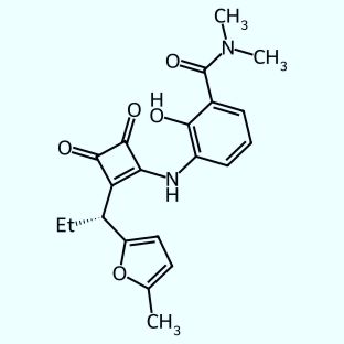 CC[C@@H](c1ccc(C)o1)c1c(Nc2cccc(C(=O)N(C)C)c2O)c(=O)c1=O